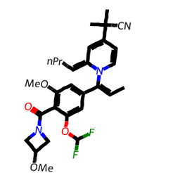 C/C=C(/c1cc(OC)c(C(=O)N2CC(OC)C2)c(OC(F)F)c1)N1C=CC(C(C)(C)C#N)=C/C1=C\CCC